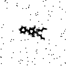 CCCO[SiH](OCCC)c1c(C)cc(-c2ccccc2)cc1C